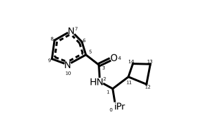 CC(C)C(NC(=O)c1cnccn1)C1CCC1